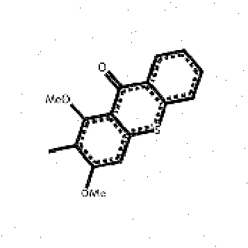 COc1cc2sc3ccccc3c(=O)c2c(OC)c1C